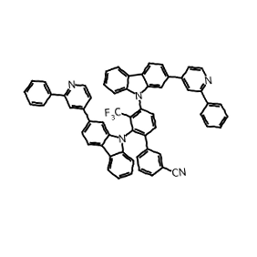 N#Cc1cccc(-c2ccc(-n3c4ccccc4c4ccc(-c5ccnc(-c6ccccc6)c5)cc43)c(C(F)(F)F)c2-n2c3ccccc3c3ccc(-c4ccnc(-c5ccccc5)c4)cc32)c1